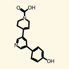 O=C(O)N1CC=C(c2cncc(-c3ccc(O)cc3)c2)CC1